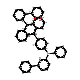 c1ccc(-c2cccc(N(c3ccccc3)c3ccc(-c4c5ccccc5c(-c5ccccc5-c5ccccc5)c5ccccc45)cc3)n2)cc1